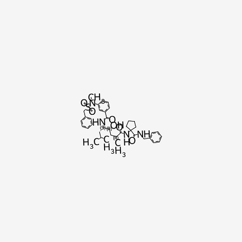 CC(C)C[C@H](NC(=O)c1cccc(N(C)S(=O)(=O)Cc2ccccc2)c1)[C@H](O)C[C@@H](C)C(=O)NC1(C(=O)NCc2ccccc2)CCCC1